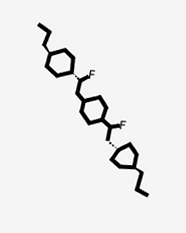 CCC[C@H]1CC[C@H](CC(F)C2CCC(CC(F)[C@H]3CC[C@H](CCC)CC3)CC2)CC1